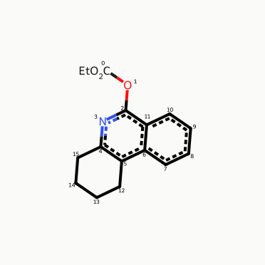 CCOC(=O)Oc1nc2c(c3ccccc13)CCCC2